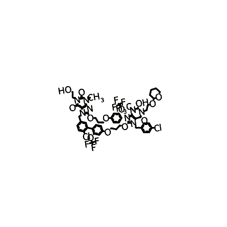 CN1c2nc(OCCCOc3ccc(-c4cc(Cn5c(OCCCOc6cccc(OC(F)(F)F)c6)nc6c5c(=O)n(CCO)c(=O)n6C)ccc4Cl)c(OC(F)(F)F)c3)n(Cc3ccc(Cl)cc3)c2C(=O)N(CCOC2CCCCO2)C1O